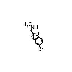 CNCc1nc2cc(Br)ccc2o1